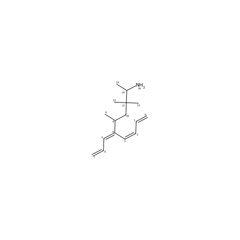 C=C/C=C\C(=C/C=C)C(C)CC(C)(C)C(C)N